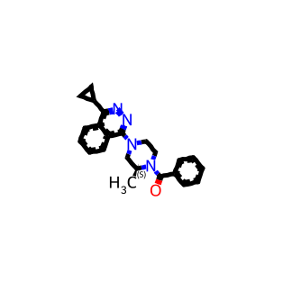 C[C@H]1CN(c2nnc(C3CC3)c3ccccc23)CCN1C(=O)c1ccccc1